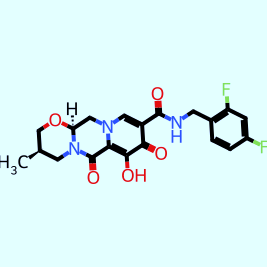 C[C@H]1CO[C@H]2Cn3cc(C(=O)NCc4ccc(F)cc4F)c(=O)c(O)c3C(=O)N2C1